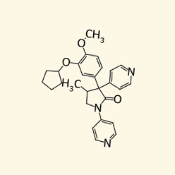 COc1ccc(C2(c3ccncc3)C(=O)N(c3ccncc3)CC2C)cc1OC1CCCC1